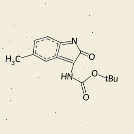 Cc1ccc2c(c1)=C(NC(=O)OC(C)(C)C)C(=O)N=2